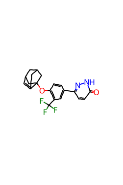 O=c1ccc(-c2ccc(OC34CC5C=C3CC(C5)C4)c(C(F)(F)F)c2)n[nH]1